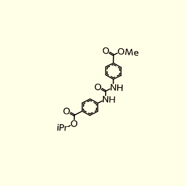 COC(=O)c1ccc(NC(=O)Nc2ccc(C(=O)OC(C)C)cc2)cc1